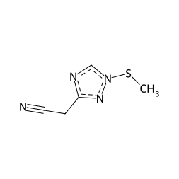 CSn1cnc(CC#N)n1